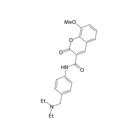 CCN(CC)Cc1ccc(NC(=O)c2cc3cccc(OC)c3oc2=O)cc1